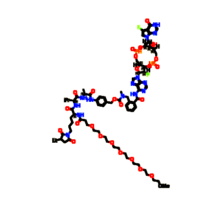 CCC1CC(=O)N(CCCC[C@H](NC(=O)CCOCCOCCOCCOCCOCCOCCOCCOC)C(=O)N[C@H](C(=O)N[C@@H](C)C(=O)Nc2ccc(COC(=O)N(C)Cc3ccccc3C(=O)Nc3ncnc4c3ncn4[C@@H]3O[C@@H]4CO[PH](=O)O[C@H]5C(n6cc(F)c7c(=O)[nH]cnc76)O[C@H](CO[PH](=O)O[C@H]4[C@H]3F)[C@H]5O)cc2)C(C)C)C1=O